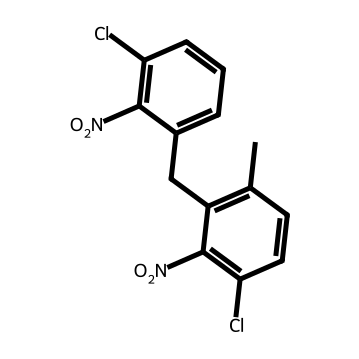 Cc1ccc(Cl)c([N+](=O)[O-])c1Cc1cccc(Cl)c1[N+](=O)[O-]